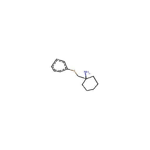 NC1(CSc2ccccc2)CCCCC1